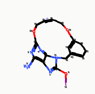 Nc1nc2nc3c1nc(OI)n3CC1=CCCC(=C1)OC/C=C\CO2